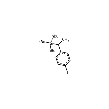 CCCC[Si](CCCC)(CCCC)C(C)c1ccc(I)cc1